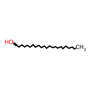 CCCCCCCCCCCCCCCCCCCCCCC#CO